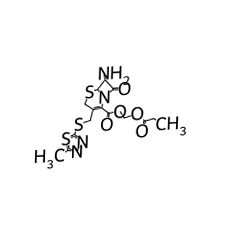 CCC(=O)OCOC(=O)C1=C(CSc2nnc(C)s2)CSC2C(N)C(=O)N12